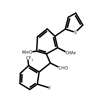 COc1ccc(-c2cccs2)c(OC)c1C(C=O)c1c(F)cccc1C(F)(F)F